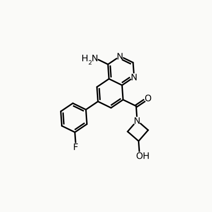 Nc1ncnc2c(C(=O)N3CC(O)C3)cc(-c3cccc(F)c3)cc12